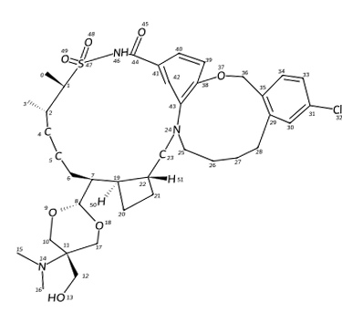 C[C@@H]1[C@@H](C)CCC[C@H]([C@H]2OC[C@@](CO)(N(C)C)CO2)[C@@H]2CC[C@H]2CN2CCCCc3cc(Cl)ccc3COc3ccc(cc32)C(=O)NS1(=O)=O